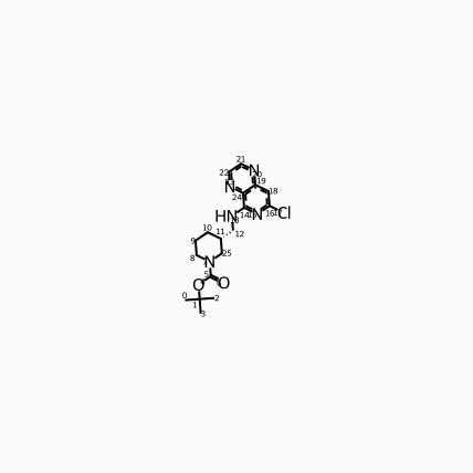 CC(C)(C)OC(=O)N1CCC[C@H](CNc2nc(Cl)cc3nccnc23)C1